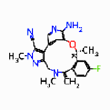 C=C1c2ccc(F)cc2[C@@H](C)Oc2cc(cnc2N)-c2c(nn(C)c2C#N)CN1C